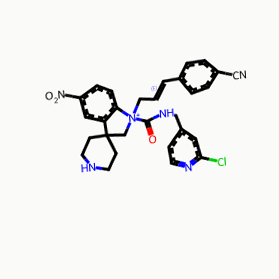 N#Cc1ccc(/C=C/C[N+]2(C(=O)NCc3ccnc(Cl)c3)CC3(CCNCC3)c3cc([N+](=O)[O-])ccc32)cc1